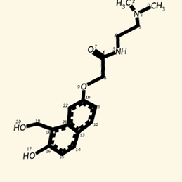 CN(C)CCNC(=O)COc1ccc2ccc(O)c(CO)c2c1